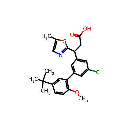 COc1ccc(C(C)(C)C)cc1-c1cc(Cl)cc(C(CC(=O)O)c2ncc(C)s2)c1